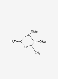 COC1C(C)OC(C)CN1OC